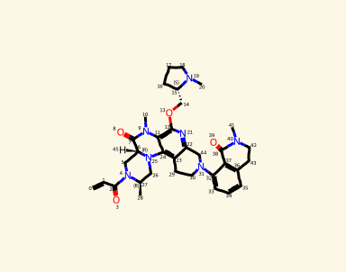 C=CC(=O)N1C[C@@H]2C(=O)N(C)c3c(OC[C@@H]4CCCN4C)nc4c(c3N2C[C@H]1C)CCN(c1cccc2c1C(=O)N(C)CC2)C4